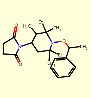 CCC1(C)CC(N2C(=O)CCC2=O)C(C)C(C)(CC)N1OC(C)c1ccccc1